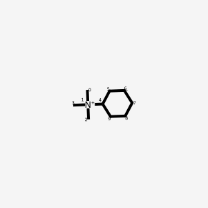 C[N+](C)(C)C1C[CH]CCC1